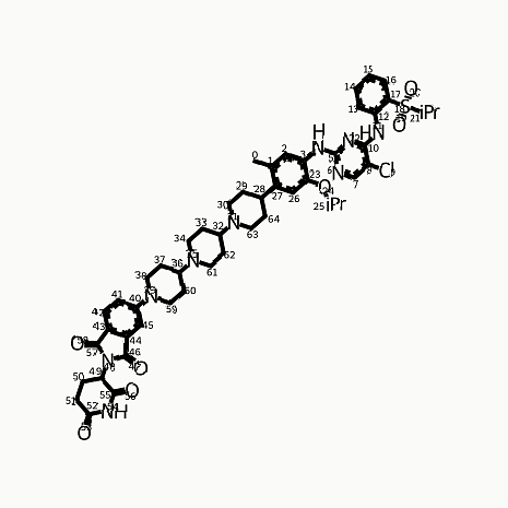 Cc1cc(Nc2ncc(Cl)c(Nc3ccccc3S(=O)(=O)C(C)C)n2)c(OC(C)C)cc1C1CCN(C2CCN(C3CCN(c4ccc5c(c4)C(=O)N(C4CCC(=O)NC4=O)C5=O)CC3)CC2)CC1